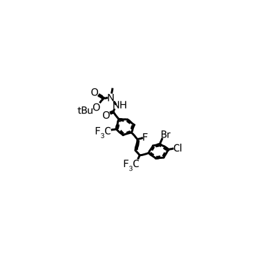 CN(NC(=O)c1ccc(C(F)=CC(c2ccc(Cl)c(Br)c2)C(F)(F)F)cc1C(F)(F)F)C(=O)OC(C)(C)C